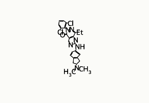 CCc1nn(-c2c(Cl)cccc2Cl)c(=O)c2cnc(Nc3ccc4c(c3)CC(N(C)C)C4)nc12